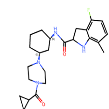 Cc1ccc(F)c2c1NC(C(=O)N[C@@H]1CCC[C@H](N3CCN(C(=O)C4CC4)CC3)C1)C2